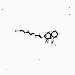 CCCCCCCC=C[C@@H]1OCC2(SCCCS2)[C@H](OC)[C@@H]1O